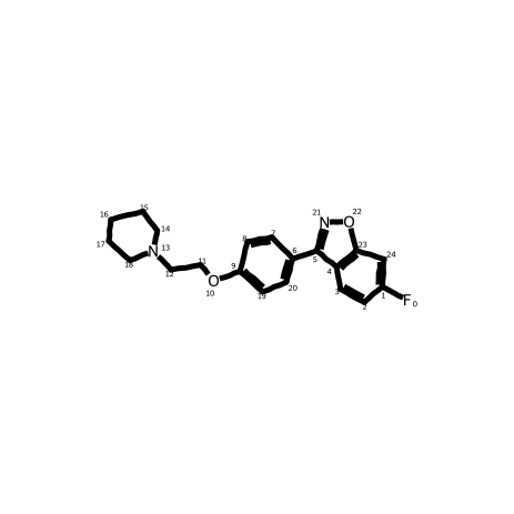 Fc1ccc2c(-c3ccc(OCCN4CCCCC4)cc3)noc2c1